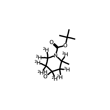 [2H]C1([2H])N(C(=O)OC(C)(C)C)C([2H])(C)C([2H])([2H])C([2H])(O)C1([2H])[2H]